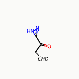 O=CCC(=O)C1=NN1